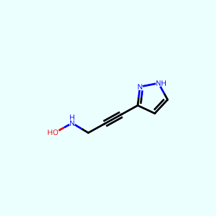 ONCC#Cc1cc[nH]n1